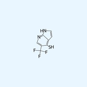 FC(F)(F)c1cnc2[nH]ccc2c1S